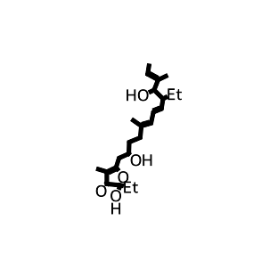 C/C=C(\C)C(O)C(/C=C/C=C(\C)CCC(O)CC1=C(C)C(=O)C(O)(CC)O1)CC